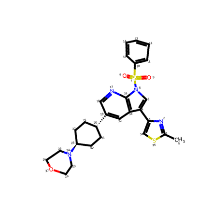 Cc1nc(-c2cn(S(=O)(=O)c3ccccc3)c3ncc([C@H]4CC[C@H](N5CCOCC5)CC4)cc23)cs1